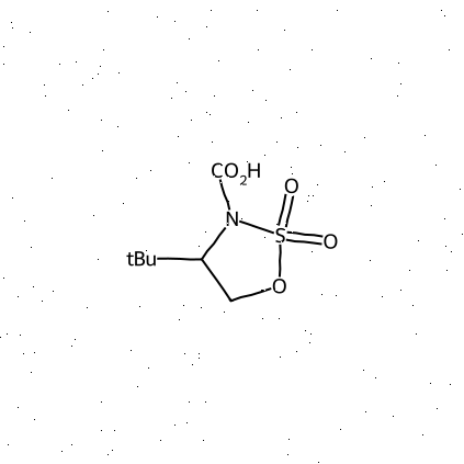 CC(C)(C)C1COS(=O)(=O)N1C(=O)O